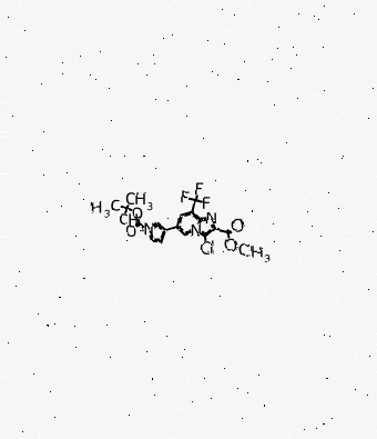 COC(=O)c1nc2c(C(F)(F)F)cc(-c3ccn(C(=O)OC(C)(C)C)c3)cn2c1Cl